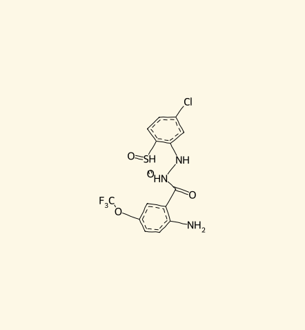 Nc1ccc(OC(F)(F)F)cc1C(=O)NNc1cc(Cl)ccc1[SH](=O)=O